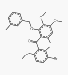 COc1cc(C)c(C(=O)c2c(OC)ccc(Br)c2C)c(OCc2cccc(C)c2)c1OC